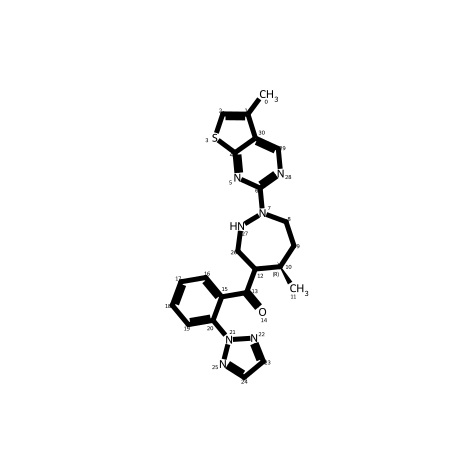 Cc1csc2nc(N3CC[C@@H](C)C(C(=O)c4ccccc4-n4nccn4)CN3)ncc12